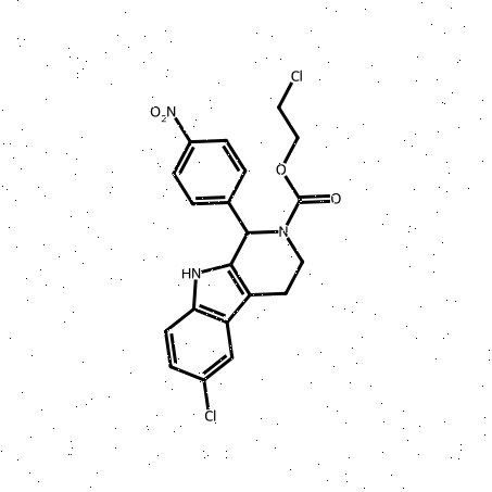 O=C(OCCCl)N1CCc2c([nH]c3ccc(Cl)cc23)C1c1ccc([N+](=O)[O-])cc1